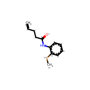 C=CCCC(=O)Nc1ccccc1SC